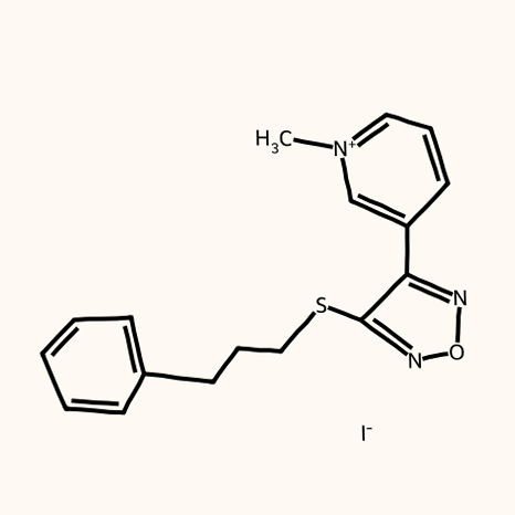 C[n+]1cccc(-c2nonc2SCCCc2ccccc2)c1.[I-]